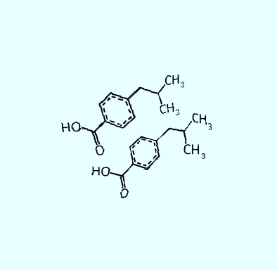 CC(C)Cc1ccc(C(=O)O)cc1.CC(C)Cc1ccc(C(=O)O)cc1